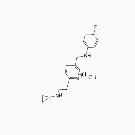 Cl.Cl.Fc1ccc(NCc2ccc(CCNC3CC3)nc2)cc1